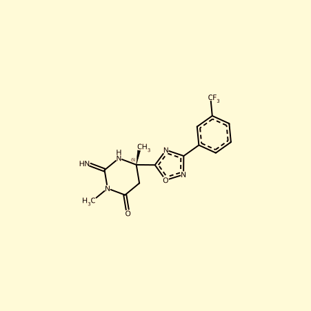 CN1C(=N)N[C@](C)(c2nc(-c3cccc(C(F)(F)F)c3)no2)CC1=O